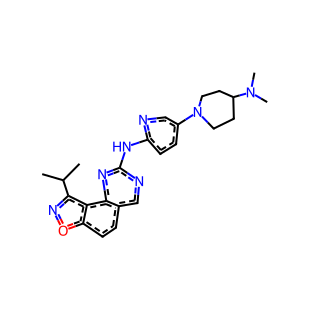 CC(C)c1noc2ccc3cnc(Nc4ccc(N5CCC(N(C)C)CC5)cn4)nc3c12